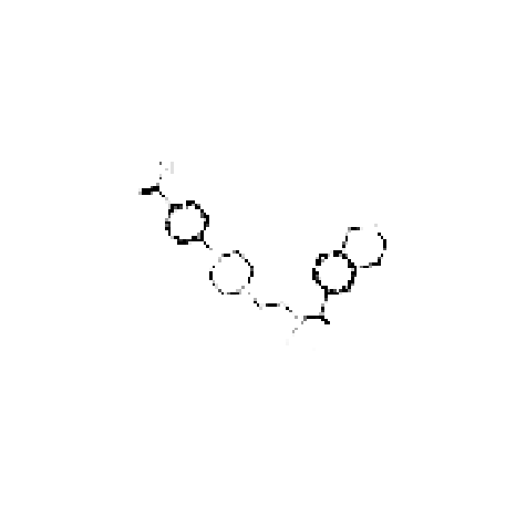 CN(CCN1CCN(c2ccc(C(N)=O)cc2)CC1)C(=O)c1ccc2c(c1)CCOC2